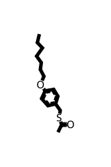 CCCCCCCOc1ccc(CSC(C)=O)cc1